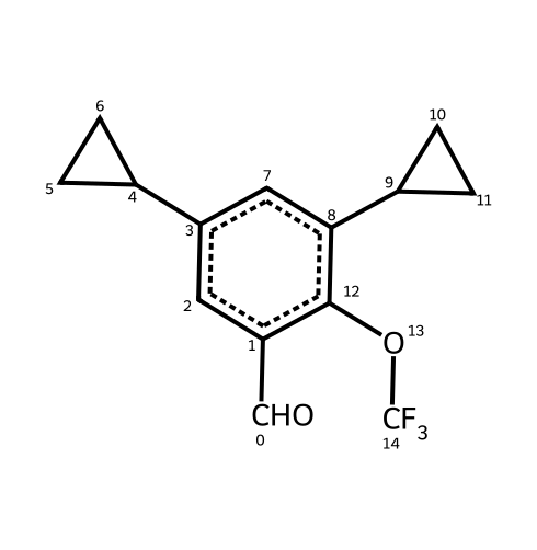 O=Cc1cc(C2CC2)cc(C2CC2)c1OC(F)(F)F